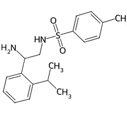 Cc1ccc(S(=O)(=O)NCC(N)c2ccccc2C(C)C)cc1